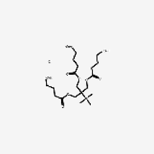 CCCCCCCCCCCCCC(=O)OCC(COC(=O)CCCCCCCCCCCCC)(COC(=O)CCCCCCCCCCCCC)[N+](C)(C)C.[Cl-]